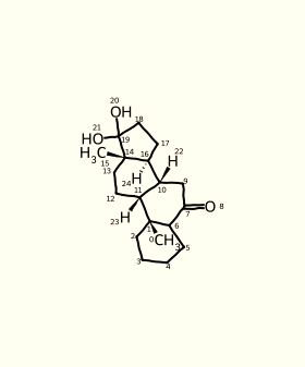 C[C@]12CCCCC1C(=O)C[C@@H]1[C@H]2CC[C@@]2(C)[C@H]1CCC2(O)O